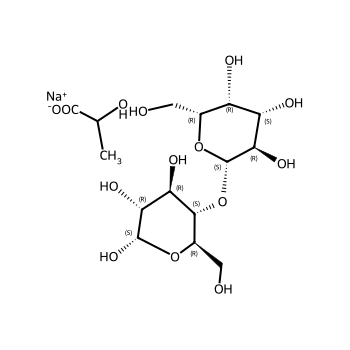 CC(O)C(=O)[O-].OC[C@H]1O[C@@H](O[C@H]2[C@H](O)[C@@H](O)[C@@H](O)O[C@@H]2CO)[C@H](O)[C@@H](O)[C@H]1O.[Na+]